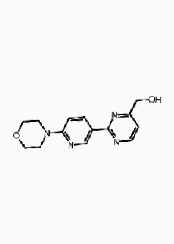 OCc1ccnc(-c2ccc(N3CCOCC3)nc2)n1